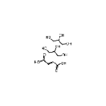 O=C(O)C=CC(=O)O.OCC(O)CO.OCC(O)CO